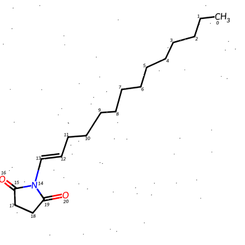 CCCCCCCCCCCCC=CN1C(=O)CCC1=O